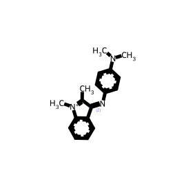 CC1=[N+](C)c2ccccc2/C1=N/c1ccc(N(C)C)cc1